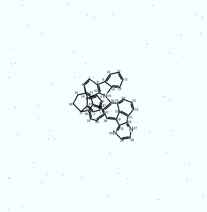 c1ccc2c(c1)-c1cc3c4ccccc4n(-c4ccc5c6c(cccc46)-c4nccnc4-5)c3c3c1CCC2c1ccccc1-3